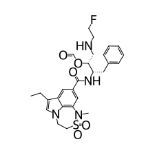 CCc1cn2c3c(cc(C(=O)N[C@@H](Cc4ccccc4)[C@@H](CNCCF)OC=O)cc13)N(C)S(=O)(=O)CC2